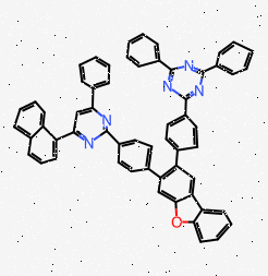 c1ccc(-c2cc(-c3cccc4ccccc34)nc(-c3ccc(-c4cc5oc6ccccc6c5cc4-c4ccc(-c5nc(-c6ccccc6)nc(-c6ccccc6)n5)cc4)cc3)n2)cc1